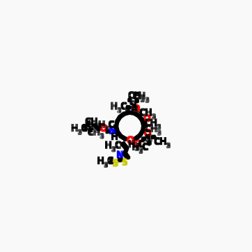 CC[Si](CC)(CC)OC1[C@@H](C)CCC[C@]2(C)[C@H](C[C@@H](/C(C)=C/c3csc(SC)n3)OC(=O)C[C@H](O[Si](CC)(CC)CC)C(C)(C)C(=O)[C@@H]1C)N2COCC[Si](C)(C)C